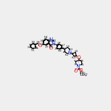 CC(C)(C)OC(=O)N1CCC(OC2CC(N3CCC(c4ccc(-n5cnc6ccc(OCc7ccccc7)cc6c5=O)cc4)CC3)C2)CC1